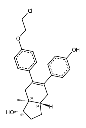 C[C@]12CC(c3ccc(OCCCl)cc3)=C(c3ccc(O)cc3)C[C@@H]1CC[C@@H]2O